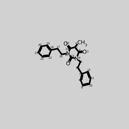 CC1C(=O)N(CCc2ccccc2)C(=O)N(CCc2ccccc2)C1=O